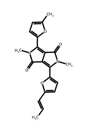 C/C=C/c1ccc(C2=C3C(=O)N(C)C(c4ccc(C)o4)=C3C(=O)N2C)o1